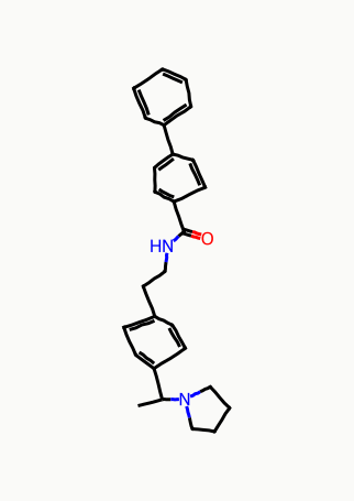 CC(c1ccc(CCNC(=O)c2ccc(-c3ccccc3)cc2)cc1)N1CCCC1